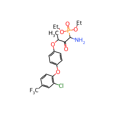 CCOP(=O)(OCC)C(N)C(=O)C(C)Oc1ccc(Oc2ccc(C(F)(F)F)cc2Cl)cc1